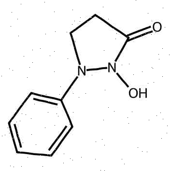 O=C1CCN(c2ccccc2)N1O